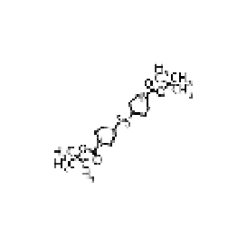 CC(C)(C)OC(=O)N1CCC(SSC2CCN(C(=O)OC(C)(C)C)CC2)CC1